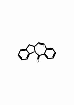 O=C1c2ccccc2N=CC2Cc3ccccc3N12